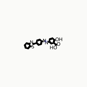 O=C(O)c1cc(/N=N/c2ccc(-c3nc4ccccc4s3)cc2)ccc1O